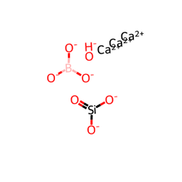 O=[Si]([O-])[O-].[Ca+2].[Ca+2].[Ca+2].[O-]B([O-])[O-].[OH-]